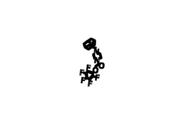 O=C(COc1c(F)c(F)c(F)c(F)c1F)N1CCN(CC23CC4CC(CC(C4)C2)C3)CC1